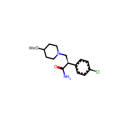 COC1CCN(C[C@H](C(N)=O)c2ccc(Cl)cc2)CC1